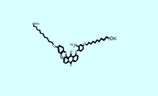 CCCCCCCCCCCCCCCCCCCCOc1ccc(Sc2cccc3c2C(=O)c2c(Sc4ccc(OCCCCCCCCCCCCCCCCCCCC)cc4N)cccc2C3=O)c(N)c1